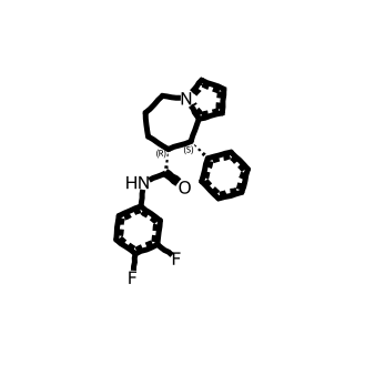 O=C(Nc1ccc(F)c(F)c1)[C@@H]1CCCn2cccc2[C@@H]1c1ccccc1